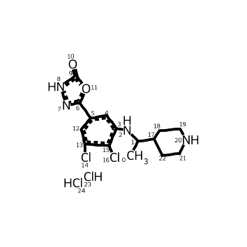 CC(Nc1cc(-c2n[nH]c(=O)o2)cc(Cl)c1Cl)C1CCNCC1.Cl.Cl